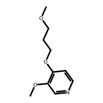 COCCCOc1ccncc1OC